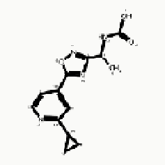 C[C@H](NC(=O)O)c1noc(-c2ccnc(C3CC3)c2)n1